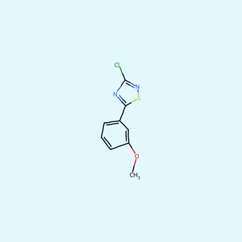 COc1cccc(-c2nc(Cl)ns2)c1